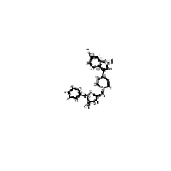 O=C1OC(CN2CCC(c3c[nH]c4cc(F)ccc34)CC2)CN1c1ccccc1